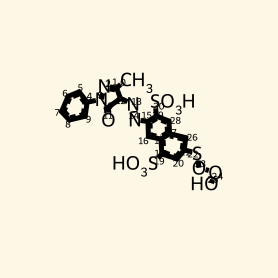 CC1=NN(c2ccccc2)C(=O)C1N=Nc1cc2c(S(=O)(=O)O)cc(SOOO)cc2cc1S(=O)(=O)O